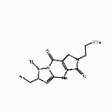 [2H]N1C(CC(C)C)C=C2NC3=C(CN(CCOC)C3=O)C(=O)N21